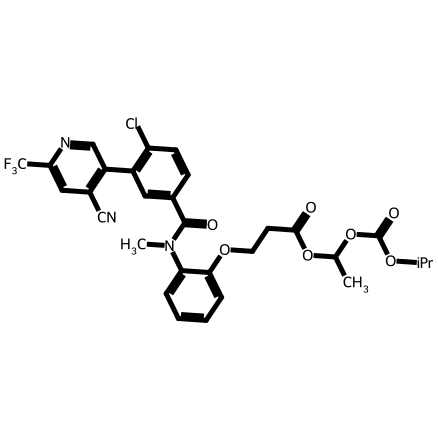 CC(C)OC(=O)OC(C)OC(=O)CCOc1ccccc1N(C)C(=O)c1ccc(Cl)c(-c2cnc(C(F)(F)F)cc2C#N)c1